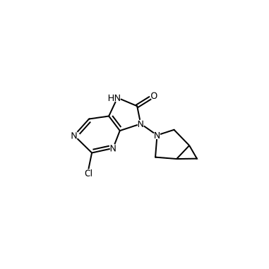 O=c1[nH]c2cnc(Cl)nc2n1N1CC2CC2C1